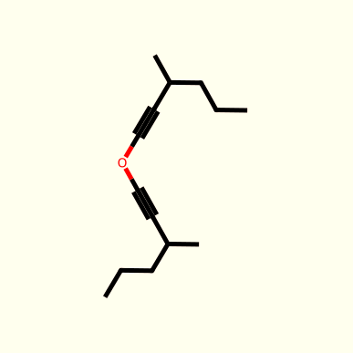 CCCC(C)C#COC#CC(C)CCC